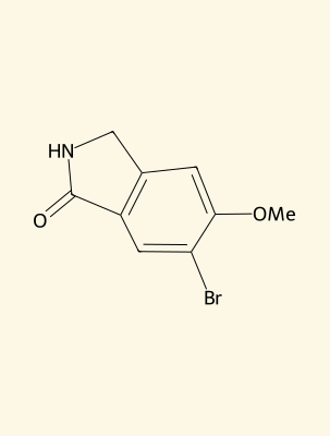 COc1cc2c(cc1Br)C(=O)NC2